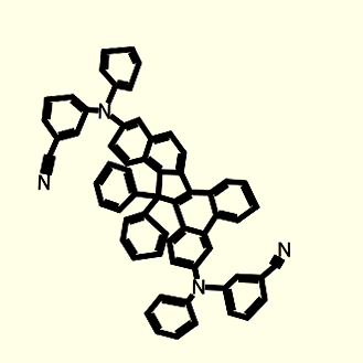 N#Cc1cccc(N(c2ccccc2)c2ccc3c4c(ccc3c2)-c2c(c3ccc(N(c5ccccc5)c5cccc(C#N)c5)cc3c3ccccc23)C4(c2ccccc2)c2ccccc2)c1